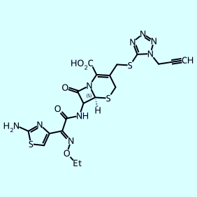 C#CCn1nnnc1SCC1=C(C(=O)O)N2C(=O)C(NC(=O)C(=NOCC)c3csc(N)n3)[C@@H]2SC1